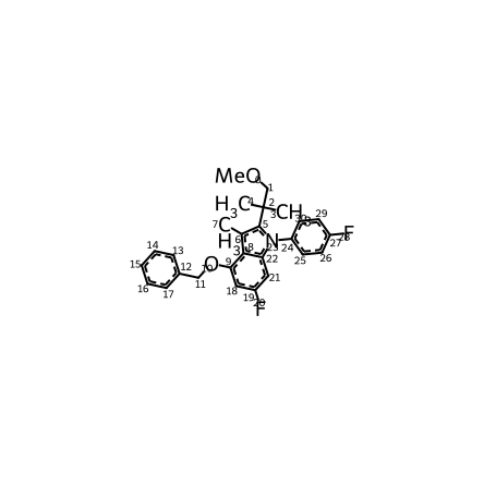 COCC(C)(C)c1c(C)c2c(OCc3ccccc3)cc(F)cc2n1-c1ccc(F)cc1